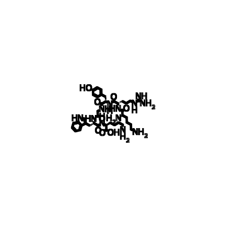 N=C(N)NCCC[C@H](NC(=O)[C@@H](N)CCCCN)C(=O)N[C@@H](Cc1ccc(O)cc1)C(=O)NCC(=O)N[C@@H](Cc1c[nH]c2ccccc12)C(=O)N[C@@H](CCCCN)C(=O)O